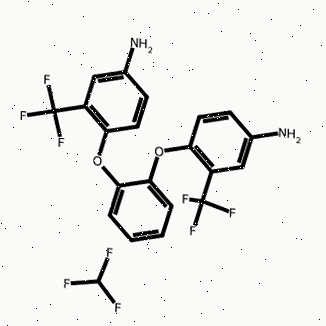 FC(F)F.Nc1ccc(Oc2ccccc2Oc2ccc(N)cc2C(F)(F)F)c(C(F)(F)F)c1